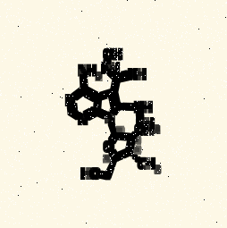 C[C@H]1[C@@H](O)[C@H](n2c(NN)c(C(=N)NO)c3c(N)ncnc32)O[C@@H]1CO